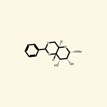 CO[C@H]1O[C@@H]2COC(c3ccccc3)O[C@H]2[C@@H](O)[C@H]1O